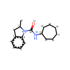 CC1Cc2ccccc2N1C(=O)NC1CCCCCC1